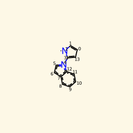 C1=C[N]C(n2ccc3ccccc32)=C1